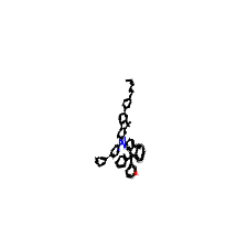 C/C=C\C=C\c1ccc(-c2ccc3c(c2)C(C)(C)c2cc(N(c4ccc(-c5ccccc5)cc4)c4ccc5c(c4)C(c4ccccc4)(c4ccccc4)c4ccccc4-5)ccc2-3)cc1